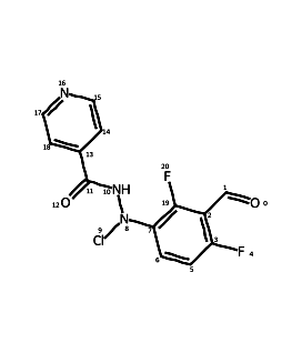 O=Cc1c(F)ccc(N(Cl)NC(=O)c2ccncc2)c1F